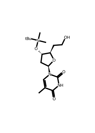 Cc1cn([C@H]2C[C@H](O[Si](C)(C)C(C)(C)C)[C@@H](CCO)O2)c(=O)[nH]c1=O